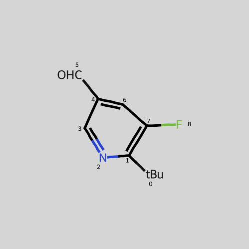 CC(C)(C)c1ncc(C=O)cc1F